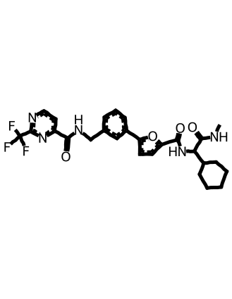 CNC(=O)C(NC(=O)c1ccc(-c2cccc(CNC(=O)c3ccnc(C(F)(F)F)n3)c2)o1)C1CCCCC1